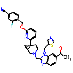 CC(=O)c1ccc2nc(CN3CCC4(c5cccc(OCc6ccc(C#N)cc6F)n5)CC4C3)n(Cc3cncs3)c2c1